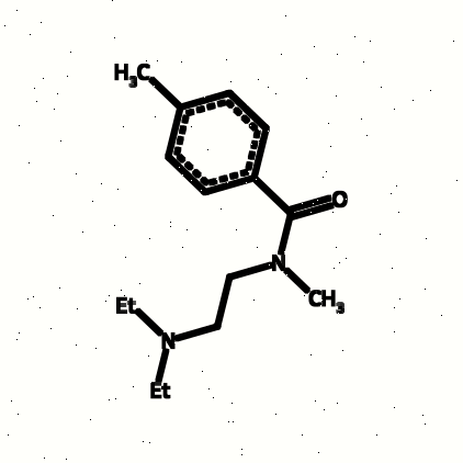 CCN(CC)CCN(C)C(=O)c1ccc(C)cc1